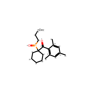 CCCCCCCCCCCC[P](=O)C1(C(=O)c2c(C)cc(C)cc2C)CCCCC1